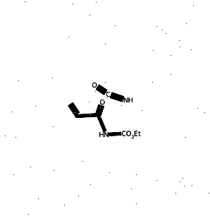 C=CC(=O)NC(=O)OCC.N=C=O